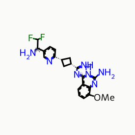 COc1cccc2/c(=N/C(=N)[C@H]3C[C@@H](c4ccc([C@@H](N)C(F)F)cn4)C3)[nH]c(N)nc12